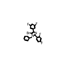 Fc1cc(F)cc(-c2nc(-c3ccc(F)cc3F)n(Cc3ccccc3)c2Br)c1